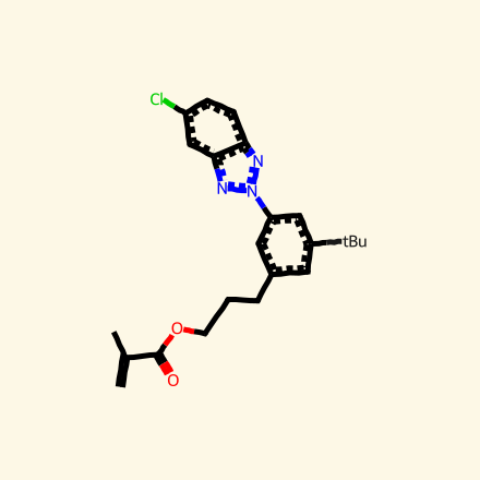 C=C(C)C(=O)OCCCc1cc(-n2nc3ccc(Cl)cc3n2)cc(C(C)(C)C)c1